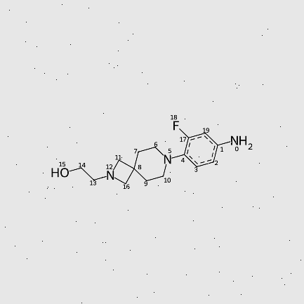 Nc1ccc(N2CCC3(CC2)CN(CCO)C3)c(F)c1